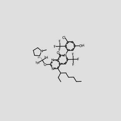 [2H]C([2H])(Oc1nc(C(CC)CCCCC)c2cc(C(F)(F)F)n(-c3cc(O)cc(Cl)c3C(F)(F)F)c(=O)c2n1)[C@@H]1CCCN1C